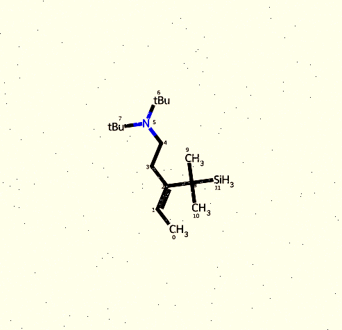 CC=C(CCN(C(C)(C)C)C(C)(C)C)C(C)(C)[SiH3]